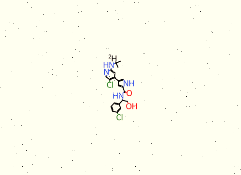 [2H]C(C)(C)Nc1cc(-c2c[nH]c(C(=O)NC(CO)c3cccc(Cl)c3)c2)c(Cl)cn1